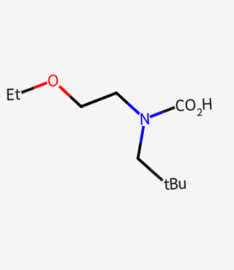 CCOCCN(CC(C)(C)C)C(=O)O